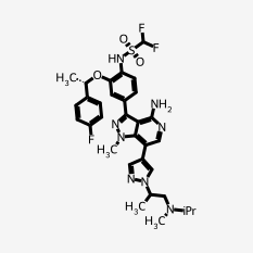 CC(C)N(C)CC(C)n1cc(-c2cnc(N)c3c(-c4ccc(NS(=O)(=O)C(F)F)c(O[C@@H](C)c5ccc(F)cc5)c4)nn(C)c23)cn1